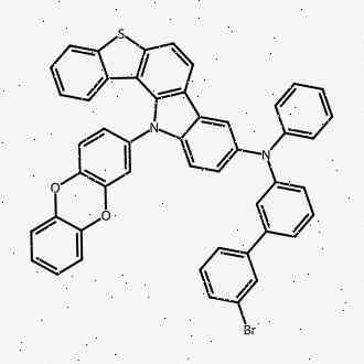 Brc1cccc(-c2cccc(N(c3ccccc3)c3ccc4c(c3)c3ccc5sc6ccccc6c5c3n4-c3ccc4c(c3)Oc3ccccc3O4)c2)c1